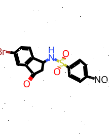 O=C1CC(NS(=O)(=O)c2ccc([N+](=O)[O-])cc2)c2ccc(Br)cc21